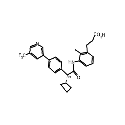 Cc1c(CCC(=O)O)cccc1NC(=O)[C@@H](c1ccc(-c2cncc(C(F)(F)F)c2)cc1)C1CCC1